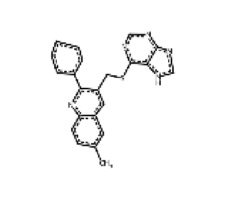 Cc1ccc2nc(-c3ccccc3)c(CSc3ncnc4nc[nH]c34)cc2c1